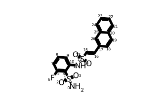 NS(=O)(=O)c1c(F)cccc1NS(=O)(=O)C=Cc1ccc2ccccc2c1